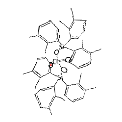 Cc1cccc([Si]([O][Cr](=[O])(=[O])[O][Si](c2cccc(C)c2C)(c2cccc(C)c2C)c2cccc(C)c2C)(c2cccc(C)c2C)c2cccc(C)c2C)c1C